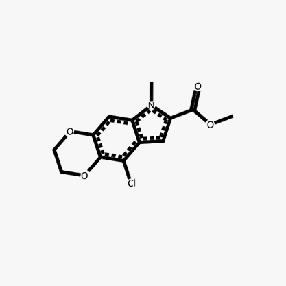 COC(=O)c1cc2c(Cl)c3c(cc2n1C)OCCO3